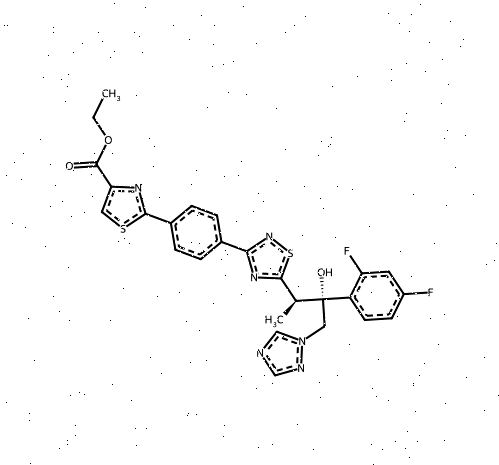 CCOC(=O)c1csc(-c2ccc(-c3nsc([C@H](C)[C@](O)(Cn4cncn4)c4ccc(F)cc4F)n3)cc2)n1